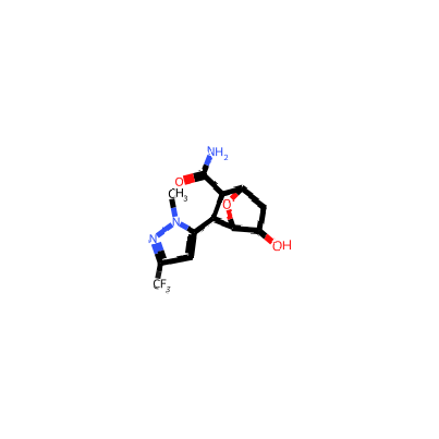 Cn1nc(C(F)(F)F)cc1C1C2OC(CC2O)C1C(N)=O